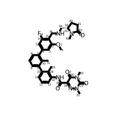 COc1cc(-c2cccc(-c3cccc(NC(=O)c4nn(C)c(=O)n(C)c4=O)c3C)c2C)cc(F)c1CNC[C@@H]1CCC(=O)N1C